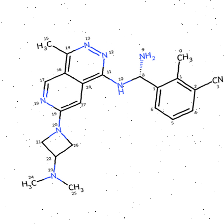 Cc1c(C#N)cccc1[C@@H](N)Nc1nnc(C)c2cnc(N3CC(N(C)C)C3)cc12